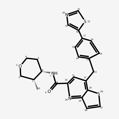 C[C@@H]1COCC[C@@H]1NC(=O)c1cc(Cc2ccc(-c3cncs3)cc2)c2sccc2n1